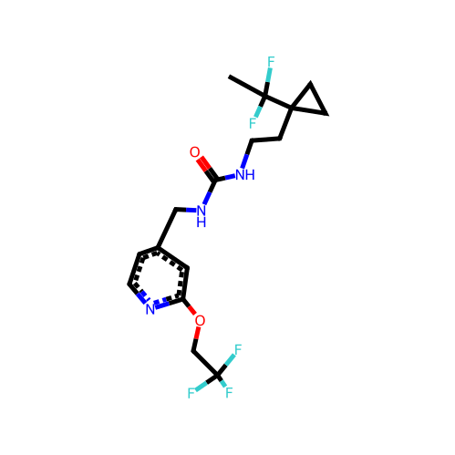 CC(F)(F)C1(CCNC(=O)NCc2ccnc(OCC(F)(F)F)c2)CC1